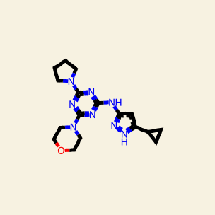 c1c(Nc2nc(N3CCCC3)nc(N3CCOCC3)n2)n[nH]c1C1CC1